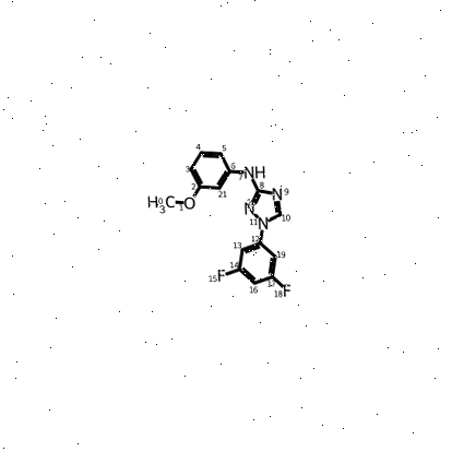 COc1cccc(Nc2ncn(-c3cc(F)cc(F)c3)n2)c1